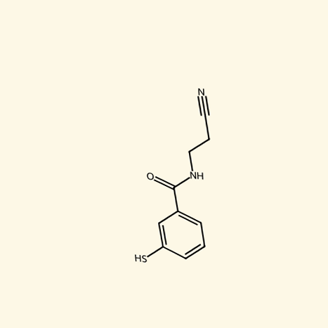 N#CCCNC(=O)c1cccc(S)c1